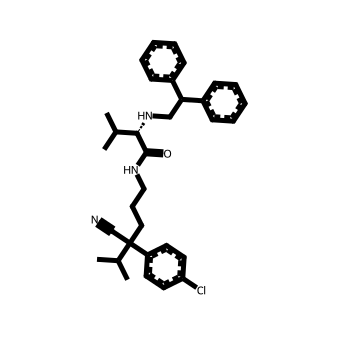 CC(C)[C@H](NCC(c1ccccc1)c1ccccc1)C(=O)NCCCC(C#N)(c1ccc(Cl)cc1)C(C)C